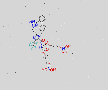 CCCc1nc(C(F)(F)C(F)(F)F)c(C(=O)NC(CC(=O)OCCCCON(O)O)C(=O)OCCCCON(O)O)n1Cc1ccc(-c2ccccc2-c2nnn[nH]2)cc1